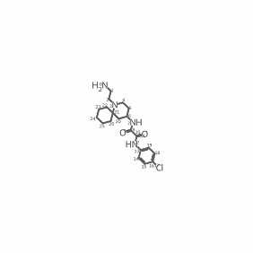 NCCN1CCC(NC(=O)C(=O)Nc2ccc(Cl)cc2)CC12CCCCC2